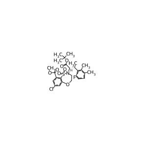 COC(=O)c1cc(Cl)cc2c1S(=O)(=O)N([C@H](C(=O)OC(C)(C)C)C(C)c1c(F)ccc(C)c1C)CCO2